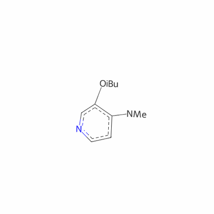 CNc1ccncc1OCC(C)C